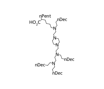 CCCCCCCCCCCCN(CCCCCCCCCCCC)CCN(CCCCCCCCCCCC)CCN1CCN(CCN(CCCCCCCCCCCC)CCCCC(CCCCC)C(=O)O)CC1